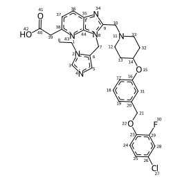 CCn1cncc1Cn1c(CN2CCC(Oc3cccc(COc4ccc(Cl)cc4F)c3)CC2)nc2ccc(CC(=O)O)nc21